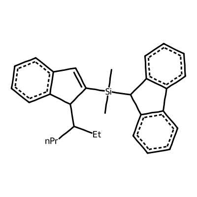 CCCC(CC)C1C([Si](C)(C)C2c3ccccc3-c3ccccc32)=Cc2ccccc21